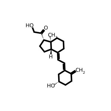 C=C1CC[C@H](O)CC1=C/C=C1\CCC[C@]2(C)[C@@H](C(=O)CO)CC[C@@H]12